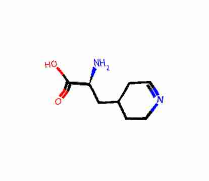 N[C@@H](CC1CC=NCC1)C(=O)O